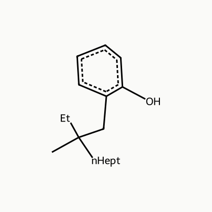 CCCCCCCC(C)(CC)Cc1ccccc1O